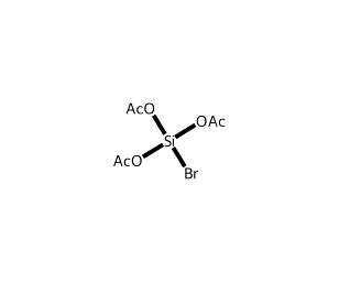 CC(=O)O[Si](Br)(OC(C)=O)OC(C)=O